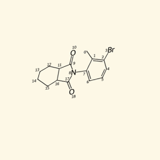 Cc1c(Br)cccc1N1C(=O)C2CCCCC2C1=O